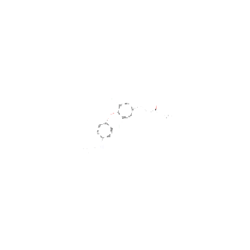 CCOC(=O)Nc1ccc(Oc2c(Br)cc(CCC(=O)OC)cc2Br)cc1